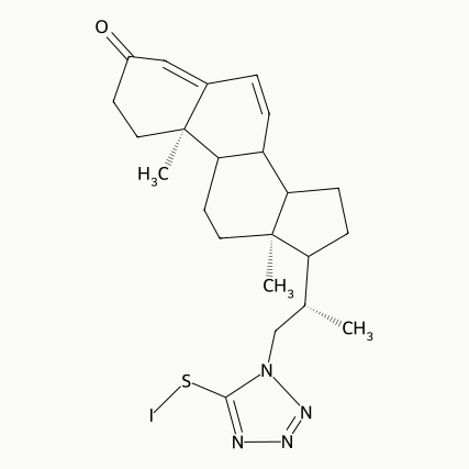 C[C@H](Cn1nnnc1SI)C1CCC2C3C=CC4=CC(=O)CC[C@]4(C)C3CC[C@@]21C